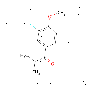 COc1ccc(C(=O)C(C)C)cc1F